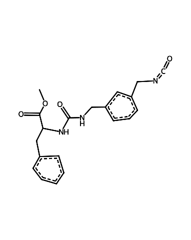 COC(=O)C(Cc1ccccc1)NC(=O)NCc1cccc(CN=C=O)c1